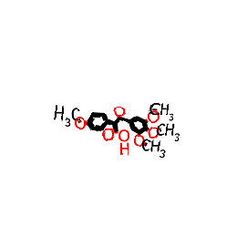 COc1ccc2c(C(=O)c3cc(OC)c(OC)c(OC)c3)c(O)oc2c1